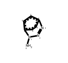 NN1N=Nc2ccc1cc2